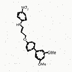 COc1cc(OC)cc(-c2ccc(OCCCNc3ccc([N+](=O)[O-])cc3)cc2)c1